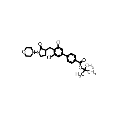 CC(C)(C)OC(=O)c1ccc(-c2cc(Cl)c(CC3CCN(N4CCOCC4)C3=O)c(Cl)c2)cc1